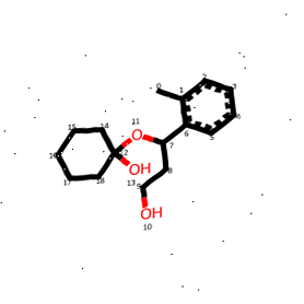 Cc1ccccc1C(CCO)OC1(O)CCCCC1